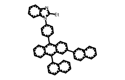 CCc1nc2ccccc2n1-c1ccc(-c2c3ccccc3c(-c3cccc4ccccc34)c3cc(-c4ccc5ccccc5c4)ccc23)cc1